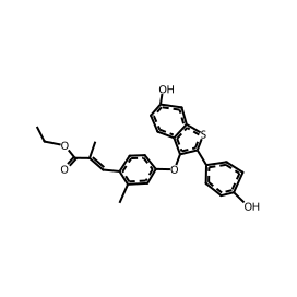 CCOC(=O)/C(C)=C/c1ccc(Oc2c(-c3ccc(O)cc3)sc3cc(O)ccc23)cc1C